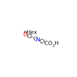 CCCCCCOc1ccc(C2=CCN(c3ccc(C(=O)O)cc3)CC2)cc1